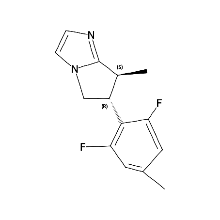 Cc1cc(F)c([C@@H]2Cn3ccnc3[C@H]2C)c(F)c1